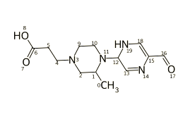 CC1CN(CCC(=O)O)CCN1C1C=NC(C=O)=CN1